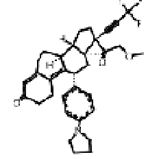 COCC(=O)[C@@]1(C#CC(F)(F)F)CC[C@H]2[C@@H]3CCC4=CC(=O)CCC4=C3[C@@H](c3ccc(N4CCCC4)cc3)C[C@@]21C